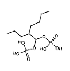 CCCCC(CCC)C(OP(=O)(O)O)OP(=O)(O)O